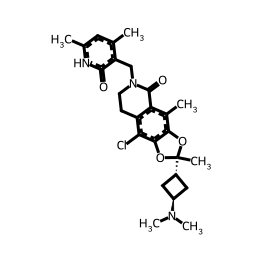 Cc1cc(C)c(CN2CCc3c(Cl)c4c(c(C)c3C2=O)OC(C)([C@H]2C[C@H](N(C)C)C2)O4)c(=O)[nH]1